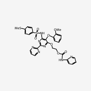 COc1ccccc1Oc1c(NS(=O)(=O)c2ccc(SC)cc2)nc(-c2ncccn2)nc1OCCOC(=O)Nc1ccccn1